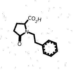 O=C(O)C1CCC(=O)N1CCc1ccccc1